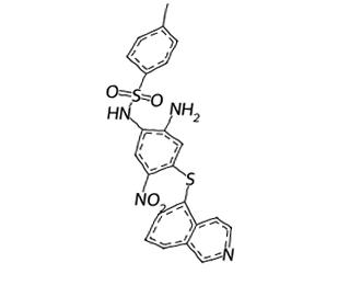 Cc1ccc(S(=O)(=O)Nc2cc([N+](=O)[O-])c(Sc3cccc4cnccc34)cc2N)cc1